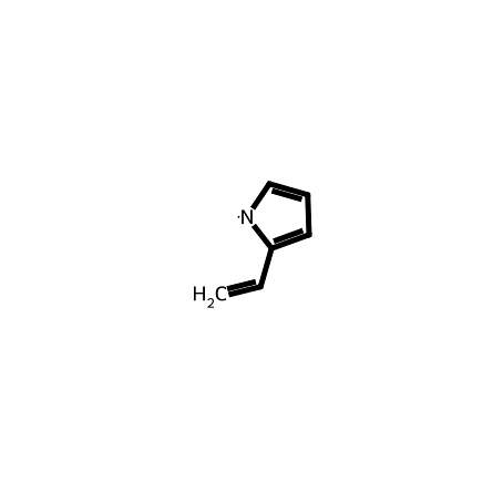 C=CC1=CC=C[N]1